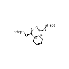 CCCCCCCOC(=O)[C@@H]1CC=CC[C@H]1C(=O)OCCCCCCC